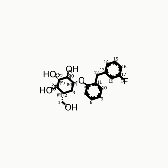 OC[C@H]1C[C@@H](Oc2ccccc2Cc2cccc(F)c2)[C@H](O)[C@@H](O)[C@@H]1O